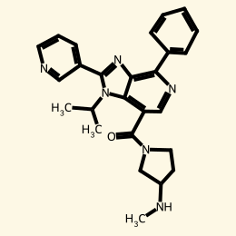 CNC1CCN(C(=O)c2cnc(-c3ccccc3)c3nc(-c4cccnc4)n(C(C)C)c23)C1